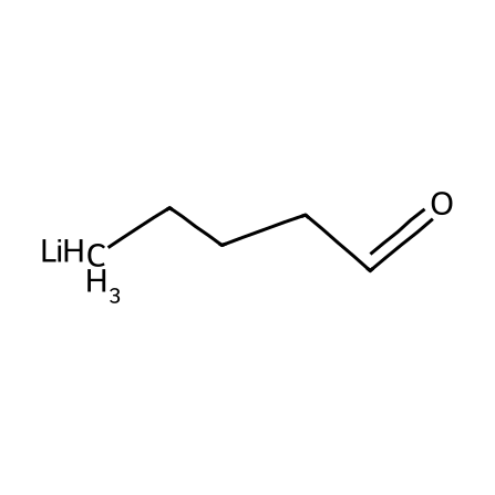 CCCCC=O.[LiH]